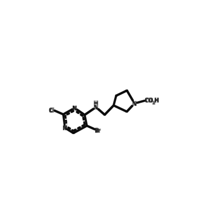 O=C(O)N1CCC(CNc2nc(Cl)ncc2Br)C1